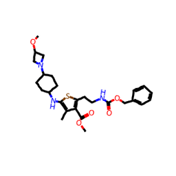 COC(=O)c1c(CCNC(=O)OCc2ccccc2)sc(NC2CCC(N3CC(OC)C3)CC2)c1C